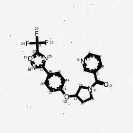 O=C(c1cccnc1)N1CCC(Oc2ccc(-c3noc(C(F)(F)F)n3)cc2)C1